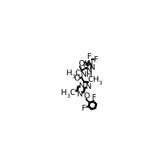 Cc1cn2c(C(=O)NC(C)(CO)c3nnn(C(F)F)n3)c(C)nc2c(OCc2c(F)cccc2F)n1